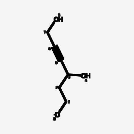 [O]CCC(O)C#CCO